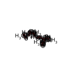 CCC(C)(CC)SC1CC(=O)N(CCCCCC(=O)N[C@H](C(=O)N[C@@H](C)C(=O)Nc2ccc(COC(=O)N3CCCN(CC(=O)C4Cc5c(O)c6c(c(O)c5[C@@H](O[C@H]5C[C@H]7[C@H](O[C@@H]8COCCN87)[C@H](C)O5)C4)C(=O)c4c(OC)cccc4C6=O)CC3)cc2)C(C)C)C1=O